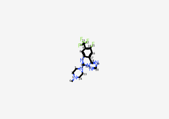 CN1CCN(c2nc3cc(C(F)(F)F)c(F)cc3c3ncnn23)CC1